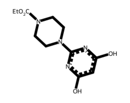 CCOC(=O)N1CCN(c2nc(O)cc(O)n2)CC1